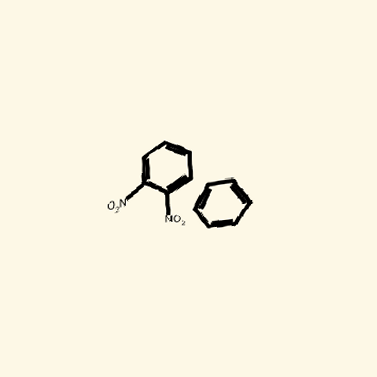 O=[N+]([O-])c1ccccc1[N+](=O)[O-].c1ccccc1